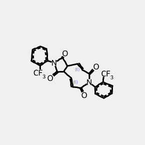 O=C1/C=C/C2C(=O)N(c3ccccc3C(F)(F)F)C(=O)C2/C=C/C(=O)N1c1ccccc1C(F)(F)F